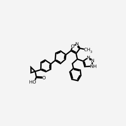 Cc1noc(-c2ccc(-c3ccc(C4(C(=O)O)CC4)cc3)cc2)c1C(Cc1ccccc1)c1c[nH]nn1